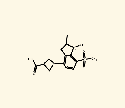 CS(=O)(=O)c1ccc(N2CC(C(N)=O)C2)c2c1[C@H](O)C(F)C2